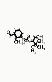 Cc1c(C=O)cccc1NC(=O)NC(CO)C(C)(C)C